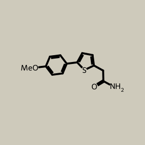 COc1ccc(-c2ccc(CC(N)=O)s2)cc1